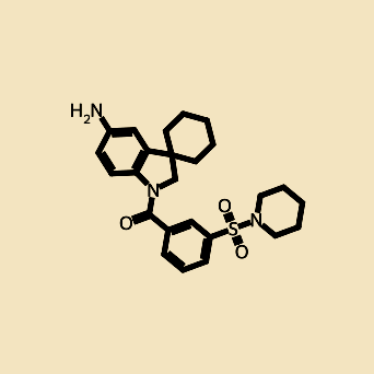 Nc1ccc2c(c1)C1(CCCCC1)CN2C(=O)c1cccc(S(=O)(=O)N2CCCCC2)c1